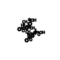 CCCSc1nc(N(C)C2CCC(C(=O)O)CC2)ccc1C(=O)NC1CCCCC1.CCCSc1nc(N2CC[C@@H](CC(=O)O)C2)ccc1C(=O)NC1CCCCC1